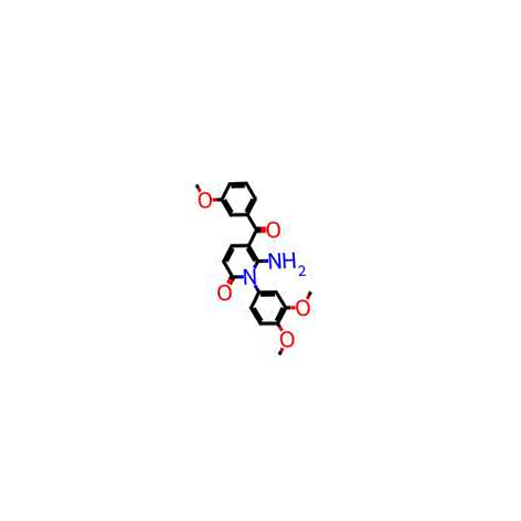 COc1cccc(C(=O)c2ccc(=O)n(-c3ccc(OC)c(OC)c3)c2N)c1